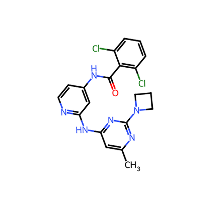 Cc1cc(Nc2cc(NC(=O)c3c(Cl)cccc3Cl)ccn2)nc(N2CCC2)n1